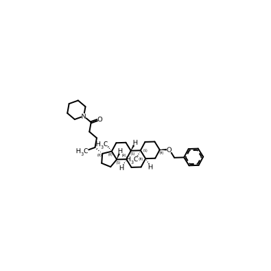 CC(CCC(=O)N1CCCCC1)[C@H]1CC[C@H]2[C@@H]3CC[C@@H]4C[C@H](OCc5ccccc5)CC[C@]4(C)[C@H]3CC[C@]12C